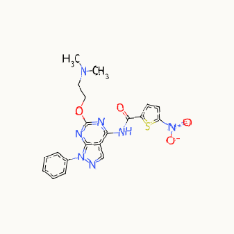 CN(C)CCOc1nc(NC(=O)c2ccc([N+](=O)[O-])s2)c2cnn(-c3ccccc3)c2n1